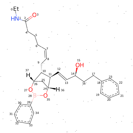 CCNC(=O)CCC/C=C\C[C@@H]1[C@@H](/C=C/[C@@H](O)CCc2ccccc2)[C@H]2C[C@@H]1OB(c1ccccc1)O2